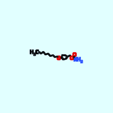 CCCCCCCCCCOc1ccc(COC(N)=O)cc1